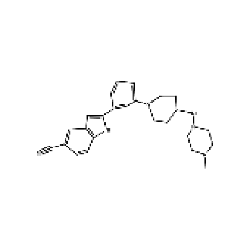 CN1CCN(NC2CCN(c3cccc(-c4cc5cc(C#N)ccc5[nH]4)c3)CC2)CC1